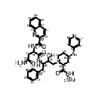 CC(C)(C)NC(=O)[C@@H]1C[C@H](Sc2ccncc2)CCN1CC(O)C(Cc1ccccc1)NC(=O)C(CC(N)=O)NC(=O)c1ccc2ccccc2n1